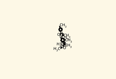 CCOC(=O)C(C)(C)Oc1c(C)cc(CN2C(=O)N(c3ccc(CC)cc3)CC2(C)C)cc1C